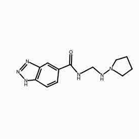 O=C(NCNN1CCCC1)c1ccc2[nH]nnc2c1